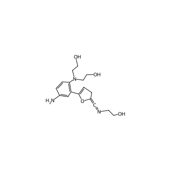 Nc1ccc(N(CCO)CCO)c(C2=CCC(=C=NCCO)O2)c1